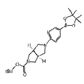 CC(C)(C)OC(=O)N1C[C@@H]2CN(c3ccc(B4OC(C)(C)C(C)(C)O4)cn3)C[C@@H]2C1